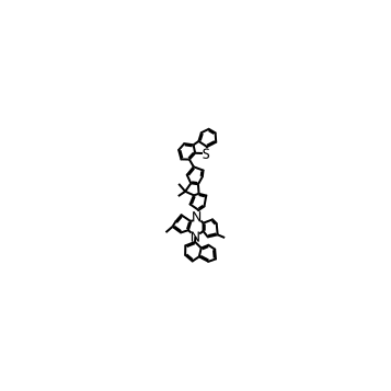 Cc1ccc2c(c1)N(c1cccc3ccccc13)c1cc(C)ccc1N2c1ccc2c(c1)C(C)(C)c1cc(-c3cccc4c3sc3ccccc34)ccc1-2